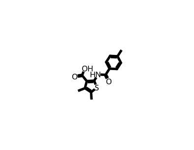 Cc1ccc(C(=O)Nc2sc(C)c(C)c2C(=O)O)cc1